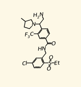 CCS(=O)(=O)c1ccc(Cl)cc1CNC(=O)c1ccc(C(CN)N2CCC(C)C2)c(C(F)(F)F)c1